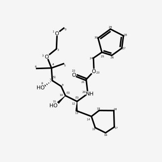 COCOC(C)(C)[C@@H](O)C[C@H](O)[C@H](CC1CCCCC1)NC(=O)OCc1ccccc1